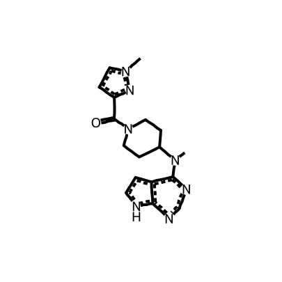 CN(c1ncnc2[nH]ccc12)C1CCN(C(=O)c2ccn(C)n2)CC1